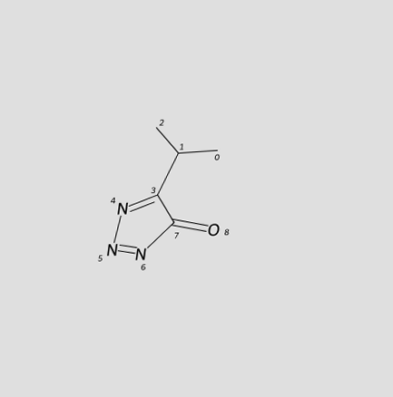 CC(C)C1=NN=NC1=O